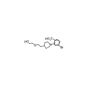 O=C(O)c1ccc(Br)cc1N1CCC(CCOCCO)CC1